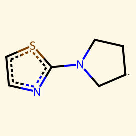 [CH]1CCN(c2nccs2)C1